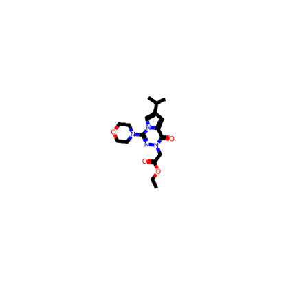 CCOC(=O)Cn1nc(N2CCOCC2)n2cc(C(C)C)cc2c1=O